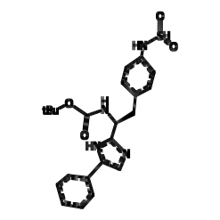 CC(C)(C)OC(=O)N[C@@H](Cc1ccc(N[SH](=O)=O)cc1)c1ncc(-c2ccccc2)[nH]1